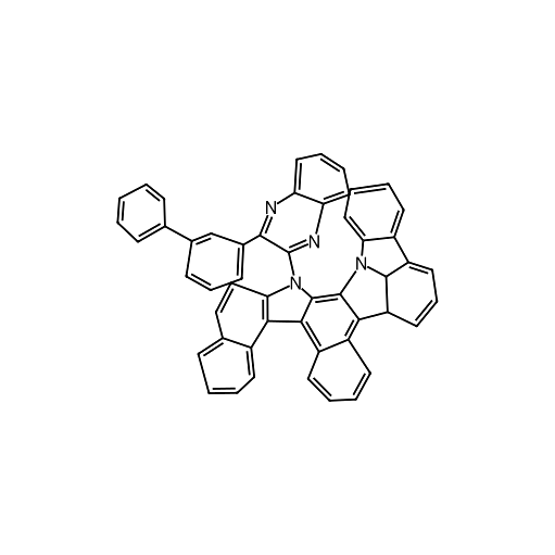 C1=CC2c3c(c4c(c5ccccc35)c3c5ccccc5ccc3n4-c3nc4ccccc4nc3-c3cccc(-c4ccccc4)c3)N3c4ccccc4C(=C1)C23